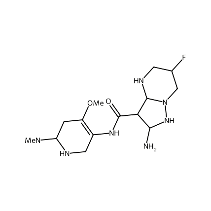 CNC1CC(OC)=C(NC(=O)C2C(N)NN3CC(F)CNC23)CN1